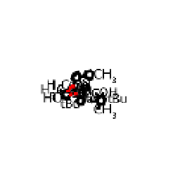 Cc1ccc(-c2cccc(OCc3c(C)cc(C(C)(C)C)c(O)c3C)c2-c2ncnc(-c3c(OCc4c(C)cc(C(C)(C)C)c(O)c4C)cccc3-c3ccc(C)cc3)n2)cc1